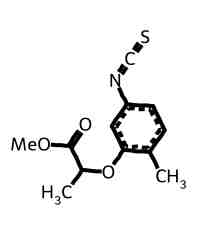 COC(=O)C(C)Oc1cc(N=C=S)ccc1C